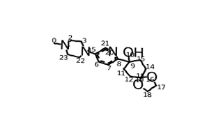 CN1CCN(c2ccc(C3(O)CCC4(CC3)OCCO4)nc2)CC1